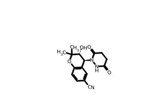 CC1(C)Oc2ccc(C#N)cc2[C@H](N2NC(=O)CCC2=O)[C@H]1O